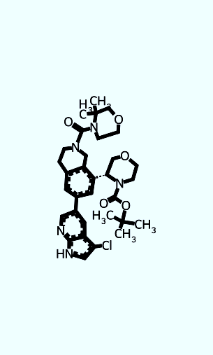 CC(C)(C)OC(=O)N1CCOC[C@H]1c1cc(-c2cnc3[nH]cc(Cl)c3c2)cc2c1CN(C(=O)N1CCOCC1(C)C)CC2